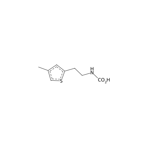 Cc1csc(CCNC(=O)O)c1